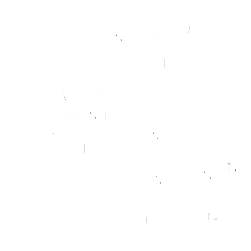 C=C(Cl)/C=N\C1=C(C)[C@@H](N[S@+]([O-])C(C)(C)C)C2(CCN(c3nc(C)c(Br)n4nccc34)CC2)C1